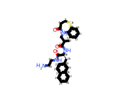 CC(CN1C(=O)CCSc2ccccc21)C(=O)N[C@H](Cc1ccc2ccccc2c1)C(=O)NCCN